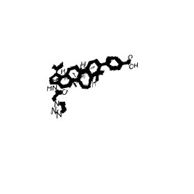 C=C(C)[C@@H]1CC[C@]2(NC(=O)Cn3ccnn3)CC[C@]3(C)[C@H](CC[C@@H]4[C@@]5(C)CC=C(c6ccc(C(=O)O)cc6)C(C)(C)[C@@H]5CC[C@]43C)[C@@H]12